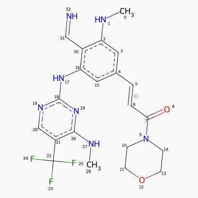 CNc1cc(/C=C/C(=O)N2CCOCC2)cc(Nc2ncc(C(F)(F)F)c(NC)n2)c1C=N